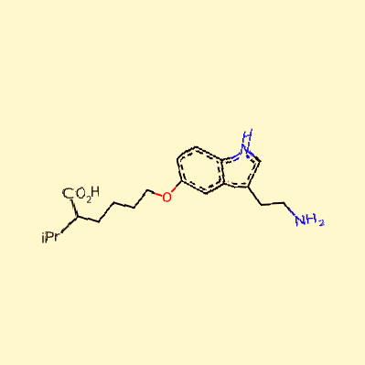 CC(C)C(CCCCOc1ccc2[nH]cc(CCN)c2c1)C(=O)O